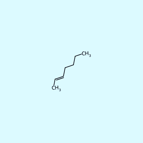 CC=CCCCC